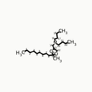 CCCCCCCCCC1(C)OCC(CN(CCCC)CCCC)O1